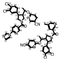 CC(Oc1ccc(C#N)cn1)C1CN(C(=O)c2ccc(-n3ccnc3)nc2)CC1c1ccc(Cl)c(Cl)c1.Cc1cncc(C(=O)N2CC(c3ccc(Cl)c(Cl)c3)C(C(C)Oc3ccc(C#N)cn3)C2)c1